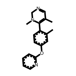 CC1=C(c2ccc(Oc3ccccn3)cc2C)N(C)CN=C1